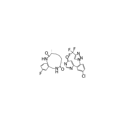 C[C@@H]1CCC[C@H](n2cnc(-c3cc(Cl)ccc3-n3cc(C(F)(F)F)nn3)cc2=O)C(=O)NCc2cc(F)ccc2NC1=O